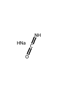 N=C=O.[NaH]